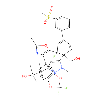 Cc1nc(-c2ccc3c(c2)OC(F)(F)O3)c(C2(F)C=C(c3cccc(S(C)(=O)=O)c3)C=CC2(CO)c2cc(C(C)(C)C(C)(C)O)nn2C)o1